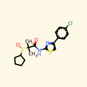 CC(C)(C(=O)Nc1nc(-c2ccc(Cl)cc2)cs1)[S+]([O-])C1CCCC1